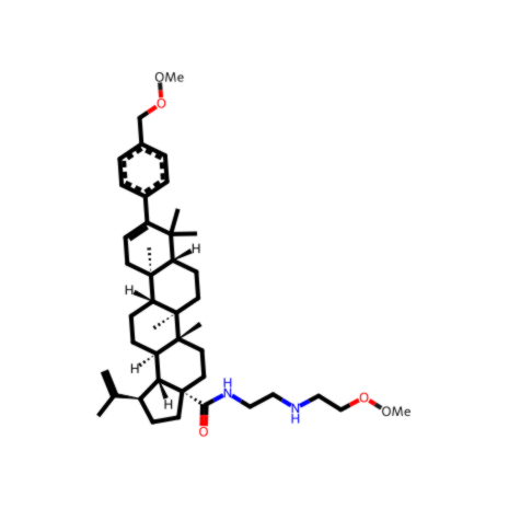 C=C(C)[C@@H]1CC[C@]2(C(=O)NCCNCCOOC)CC[C@]3(C)[C@H](CC[C@@H]4[C@@]5(C)CC=C(c6ccc(COOC)cc6)C(C)(C)[C@@H]5CC[C@]43C)[C@@H]12